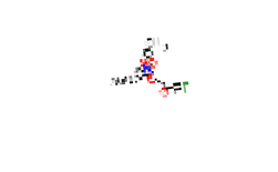 COc1ccc2c(c1)c(OCCCC(=O)c1ccc(F)cc1)nn2S(=O)(=O)c1ccc(C)cc1